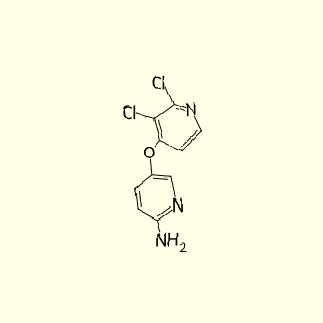 Nc1ccc(Oc2ccnc(Cl)c2Cl)cn1